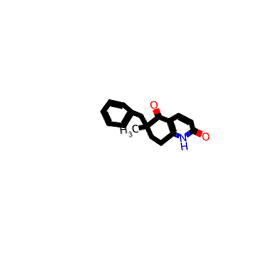 CC1(Cc2ccccc2)CCc2[nH]c(=O)ccc2C1=O